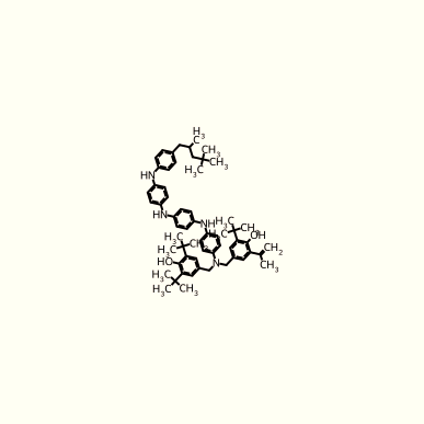 C=C(C)c1cc(CN(Cc2cc(C(C)(C)C)c(O)c(C(C)(C)C)c2)c2ccc(Nc3ccc(Nc4ccc(Nc5ccc(CC(C)CC(C)(C)C)cc5)cc4)cc3)cc2)cc(C(C)(C)C)c1O